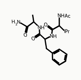 CC(=O)NC(C(=O)NC(Cc1ccccc1)C(=O)NC(C)C(N)=O)C(C)C